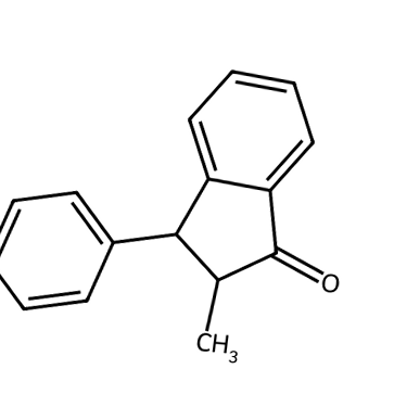 CC1C(=O)c2ccccc2C1c1ccccc1